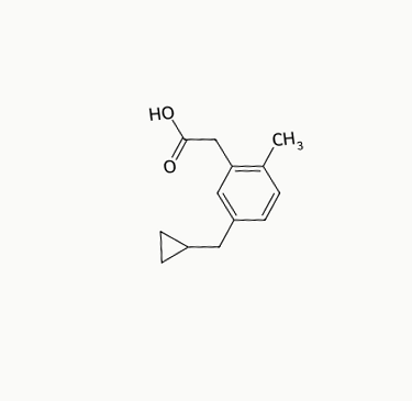 Cc1ccc(CC2CC2)cc1CC(=O)O